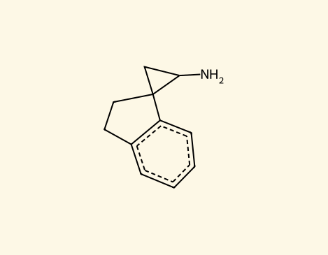 NC1CC12CCc1ccccc12